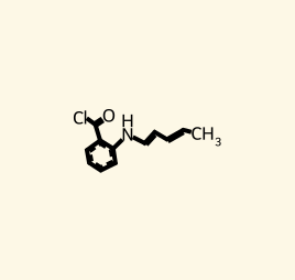 CC=CC=CNc1ccccc1C(=O)Cl